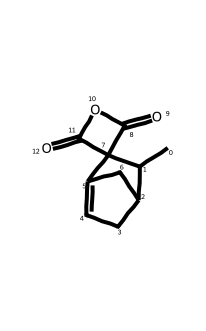 CC1C2CC=C(C2)C12C(=O)OC2=O